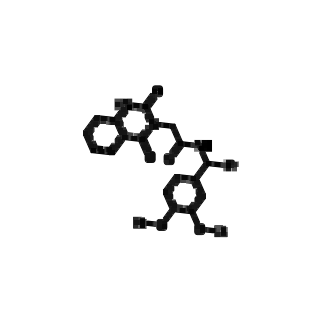 CCOc1ccc(C(NC(=O)Cn2c(=O)[nH]c3ccccc3c2=O)C(C)C)cc1OCC